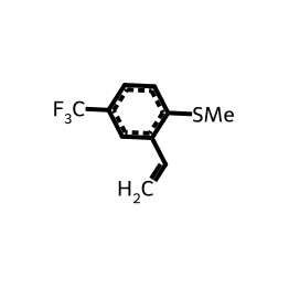 C=Cc1cc(C(F)(F)F)ccc1SC